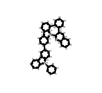 c1ccc(-n2c3ccccc3c3cc(-c4ccc5c6cccc7c6n(c5c4)-c4nc5ccccc5cc4-c4ccccc4-7)ccc32)cc1